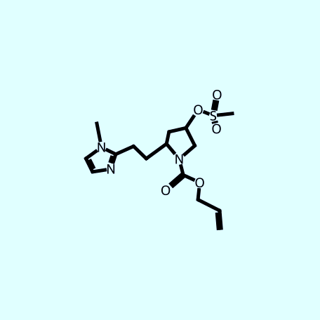 C=CCOC(=O)N1CC(OS(C)(=O)=O)CC1CCc1nccn1C